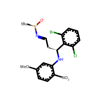 COc1ccc([N+](=O)[O-])c(N[C@H](C/C=N/[S@+]([O-])C(C)(C)C)c2c(Cl)cccc2Br)c1